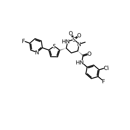 CN1[C@H](C(=O)Nc2ccc(F)c(Cl)c2)C[C@H](c2ccc(-c3ccc(F)cn3)s2)NS1(=O)=O